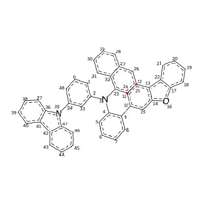 c1cc(N(c2ccccc2-c2ccc3c(c2)oc2ccccc23)c2cccc3ccccc23)cc(-n2c3ccccc3c3ccccc32)c1